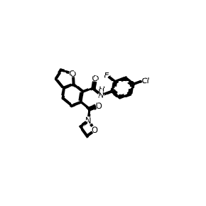 O=C(Nc1ccc(Cl)cc1F)C1=C(C(=O)N2CCO2)CCC2CCOC12